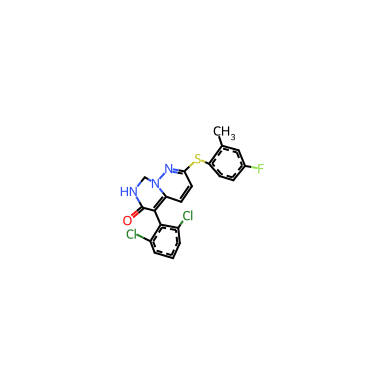 Cc1cc(F)ccc1SC1=NN2CNC(=O)C(c3c(Cl)cccc3Cl)=C2C=C1